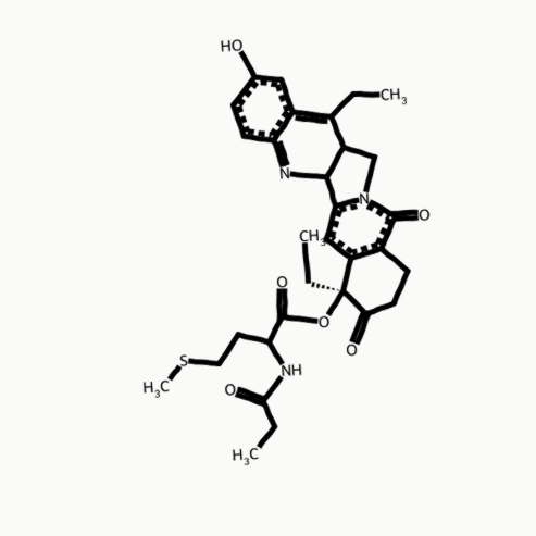 CCC(=O)NC(CCSC)C(=O)O[C@]1(CC)C(=O)CCc2c1cc1n(c2=O)CC2C(CC)=c3cc(O)ccc3=NC12